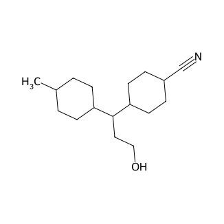 CC1CCC(C(CCO)C2CCC(C#N)CC2)CC1